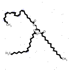 CC/C=C\C/C=C\C/C=C\C/C=C\C/C=C\CCCCCC(=O)OC[C@@H](COC(=O)CCCCCCCCCCCCCC)OC(=O)CCCCCCC/C=C\CCCCCCC